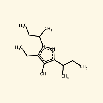 CCc1c(O)c(C(C)CC)nn1C(C)CC